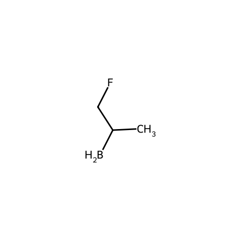 BC(C)CF